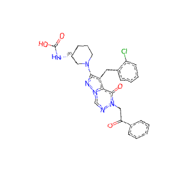 O=C(O)N[C@@H]1CCCN(c2nn3cnn(CC(=O)c4ccccc4)c(=O)c3c2Cc2ccccc2Cl)C1